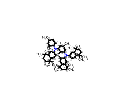 Cc1cc(C)c(N2c3cc4c(cc3B3c5cc6c(cc5N(c5ccc7c(c5)C(C)(C)CCC7(C)C)c5cc(C)cc2c53)C(C)(C)CCC6(C)C)C(C)(C)CCC4(C)C)c(C)c1